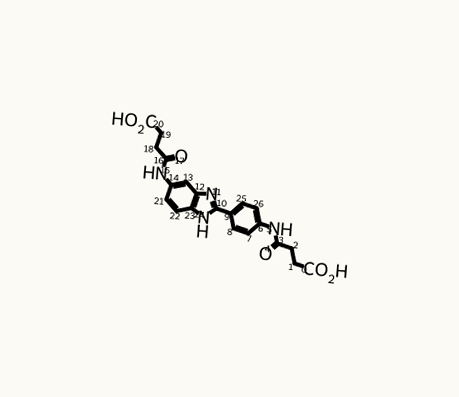 O=C(O)CCC(=O)Nc1ccc(-c2nc3cc(NC(=O)CCC(=O)O)ccc3[nH]2)cc1